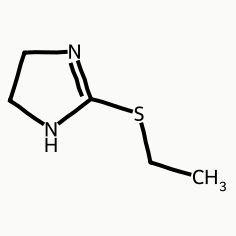 CCSC1=NCCN1